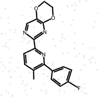 Cc1ccc(-c2ncc3c(n2)OCCO3)nc1-c1ccc(F)cc1